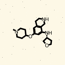 CN1CCC(Oc2cc3c(c(N[C@H]4CCOC4)c2)CNCC3)CC1